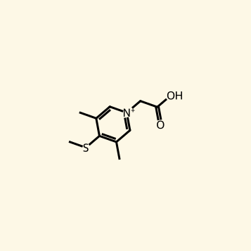 CSc1c(C)c[n+](CC(=O)O)cc1C